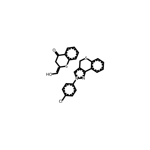 Clc1ccc(-n2cc3c(n2)-c2ccccc2SC3)cc1.O=C1CC(=CO)Sc2ccccc21